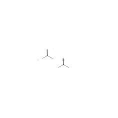 CC(O)C(=O)O.CCOC(=O)C(C)O